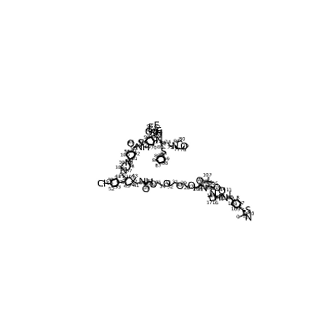 Cc1ncsc1-c1ccc([C@H](C)NC(=O)[C@@H]2CCCN2C(=O)[C@@H](NC(=O)COCCOCCOCCOCC(=O)NCC2(C)CCC(c3ccc(Cl)cc3)=C(CN3CCN(c4ccc(C(=O)NSc5ccc(N[C@H](CCN6CCOCC6)CSc6ccccc6)c(S(=O)(=O)C(F)(F)F)c5)cc4)CC3)C2)C(C)(C)C)cc1